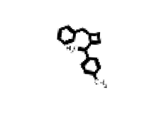 C=C(C1=CCC1Cc1ccccc1)c1ccc(C)cc1